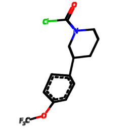 O=C(Cl)N1CCCC(c2ccc(OC(F)(F)F)cc2)C1